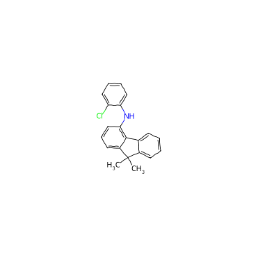 CC1(C)c2ccccc2-c2c(Nc3ccccc3Cl)cccc21